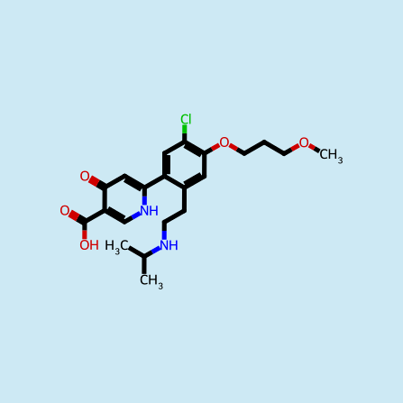 COCCCOc1cc(CCNC(C)C)c(-c2cc(=O)c(C(=O)O)c[nH]2)cc1Cl